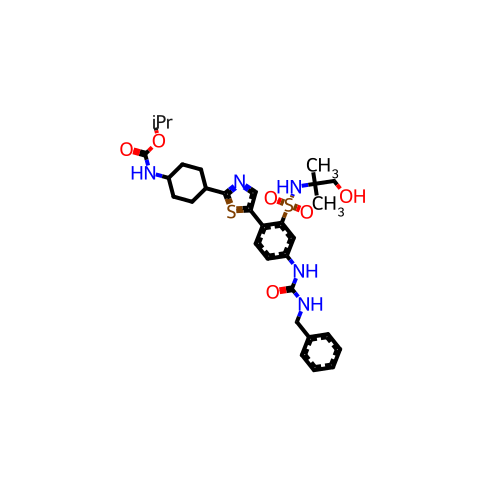 CC(C)OC(=O)NC1CCC(c2ncc(-c3ccc(NC(=O)NCc4ccccc4)cc3S(=O)(=O)NC(C)(C)CO)s2)CC1